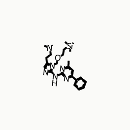 Cc1cc(-c2ccccc2)nc(Nc2ncc(CCN(C)C)n2COCC[Si](C)(C)C)n1